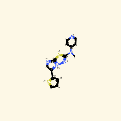 CN(c1ccncc1)c1nn2c(-c3cccs3)cnc2s1